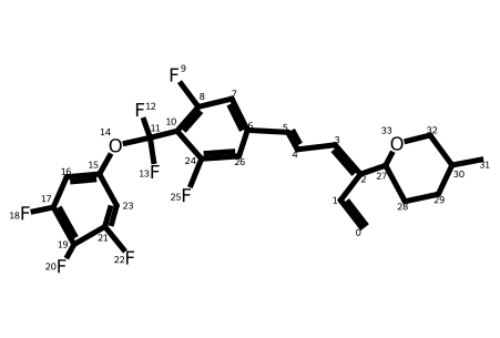 C=C/C(=C\C=C\c1cc(F)c(C(F)(F)Oc2cc(F)c(F)c(F)c2)c(F)c1)C1CCC(C)CO1